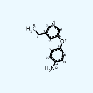 CCc1cncc(Oc2ccc(N)cn2)c1